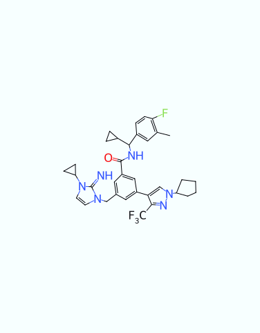 Cc1cc(C(NC(=O)c2cc(Cn3ccn(C4CC4)c3=N)cc(-c3cn(C4CCCC4)nc3C(F)(F)F)c2)C2CC2)ccc1F